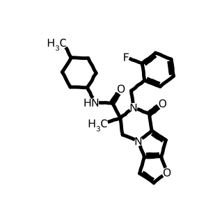 CC1CCC(NC(=O)C2(C)Cn3c(cc4occc43)C(=O)N2Cc2ccccc2F)CC1